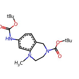 CN1CCN(C(=O)OC(C)(C)C)Cc2ccc(NC(=O)OC(C)(C)C)cc21